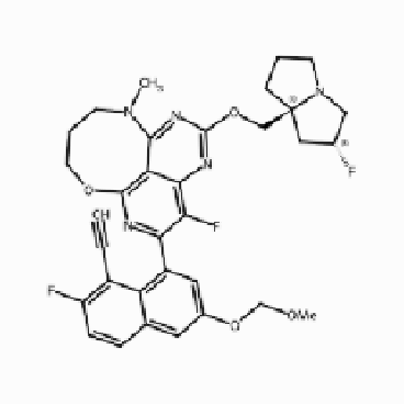 C#Cc1c(F)ccc2cc(OCOC)cc(-c3nc4c5c(nc(OC[C@@]67CCCN6C[C@H](F)C7)nc5c3F)N(C)CCCO4)c12